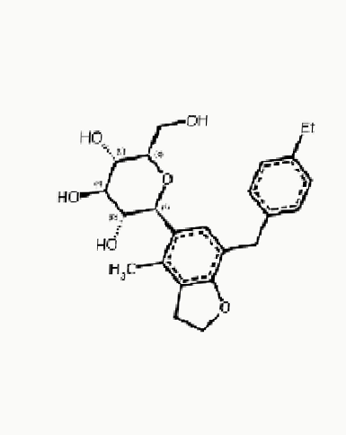 CCc1ccc(Cc2cc([C@@H]3O[C@H](CO)[C@@H](O)[C@H](O)[C@H]3O)c(C)c3c2OCC3)cc1